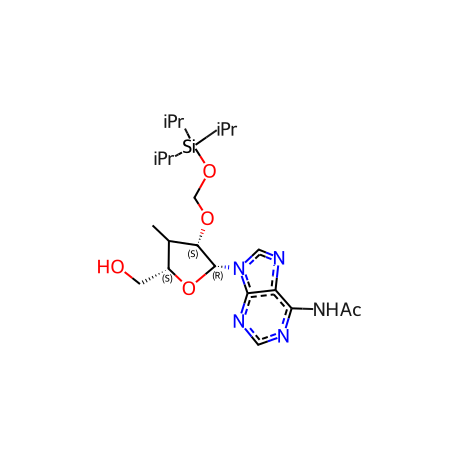 CC(=O)Nc1ncnc2c1ncn2[C@@H]1O[C@H](CO)C(C)[C@@H]1OCO[Si](C(C)C)(C(C)C)C(C)C